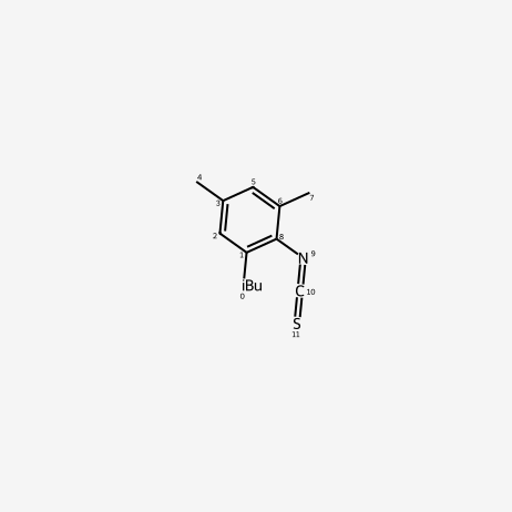 CCC(C)c1cc(C)cc(C)c1N=C=S